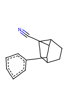 N#CC1C2CCC(CC2)C1c1ccccc1